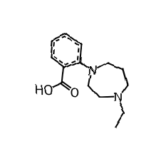 CCN1CCCN(c2ccccc2C(=O)O)CC1